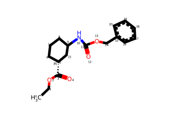 CCOC(=O)[C@@H]1CCCC(NC(=O)OCc2ccccc2)C1